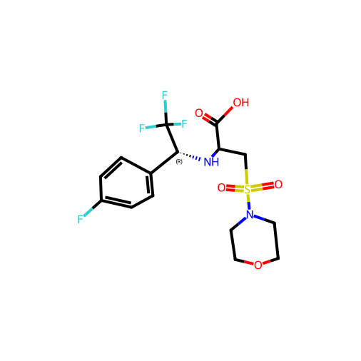 O=C(O)C(CS(=O)(=O)N1CCOCC1)N[C@H](c1ccc(F)cc1)C(F)(F)F